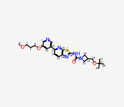 COCCCOc1cncc(-c2ccc3nc(NC(=O)N4CC(COC(C)(C)C)C4)sc3n2)c1